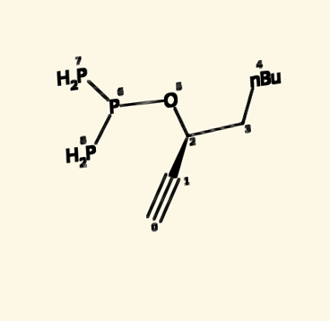 C#C[C@H](CCCCC)OP(P)P